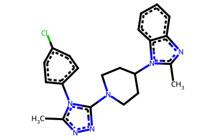 Cc1nnc(N2CCC(n3c(C)nc4ccccc43)CC2)n1-c1ccc(Cl)cc1